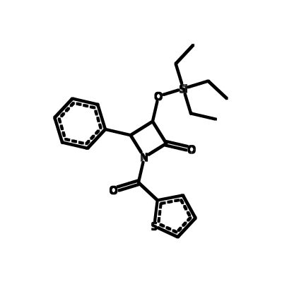 CC[Si](CC)(CC)OC1C(=O)N(C(=O)c2cccs2)C1c1ccccc1